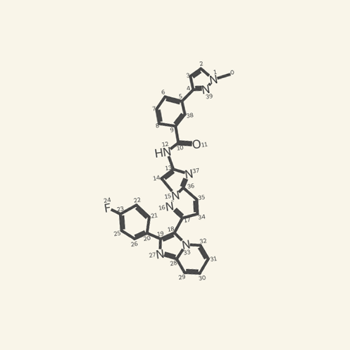 Cn1ccc(-c2cccc(C(=O)Nc3cn4nc(-c5c(-c6ccc(F)cc6)nc6ccccn56)ccc4n3)c2)n1